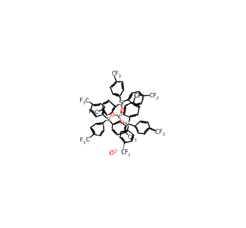 FC(F)(F)c1ccc([Si]([O][V+2]([O][Si](c2ccc(C(F)(F)F)cc2)(c2ccc(C(F)(F)F)cc2)c2ccc(C(F)(F)F)cc2)[O][Si](c2ccc(C(F)(F)F)cc2)(c2ccc(C(F)(F)F)cc2)c2ccc(C(F)(F)F)cc2)(c2ccc(C(F)(F)F)cc2)c2ccc(C(F)(F)F)cc2)cc1.[O-2]